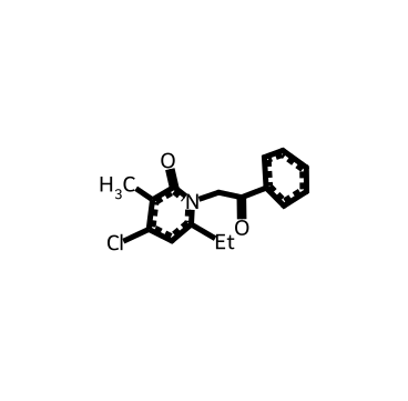 CCc1cc(Cl)c(C)c(=O)n1CC(=O)c1ccccc1